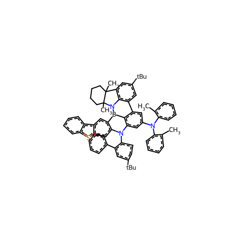 Cc1ccccc1N(c1cc2c3c(c1)N(c1ccc(C(C)(C)C)cc1-c1ccccc1)c1cc4sc5ccccc5c4cc1B3N1c3c-2cc(C(C)(C)C)cc3C2(C)CCCCC12C)c1ccccc1C